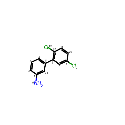 Nc1cccc(-c2cc(Cl)ccc2Cl)c1